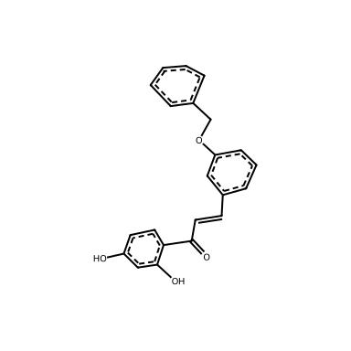 O=C(C=Cc1cccc(OCc2ccccc2)c1)c1ccc(O)cc1O